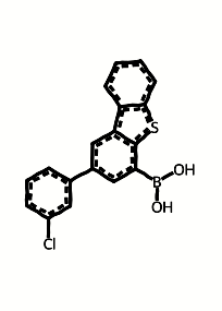 OB(O)c1cc(-c2cccc(Cl)c2)cc2c1sc1ccccc12